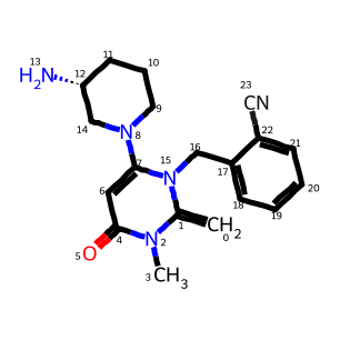 C=C1N(C)C(=O)C=C(N2CCC[C@@H](N)C2)N1Cc1ccccc1C#N